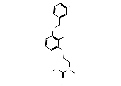 CN(CCOc1cccc(NCc2ccccc2)c1N)C(=O)OC(C)(C)C